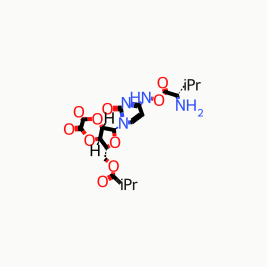 CC(C)C(=O)OC[C@H]1O[C@@H](n2ccc(NOC(=O)[C@@H](N)C(C)C)nc2=O)[C@@H]2OC(=O)C(=O)O[C@@H]21